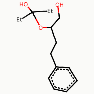 CCC(O)(CC)OC(CO)CCc1ccccc1